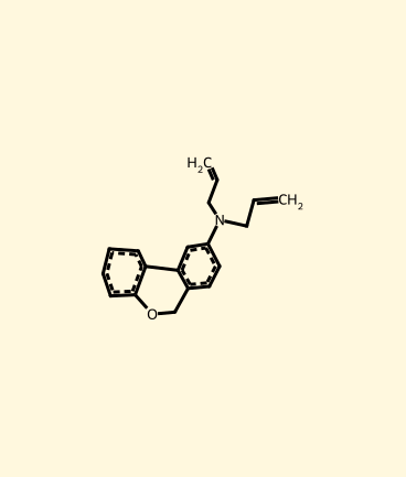 C=CCN(CC=C)c1ccc2c(c1)-c1ccccc1OC2